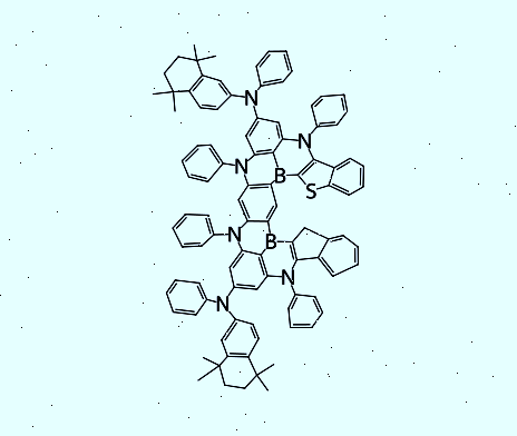 CC1(C)CCC(C)(C)c2cc(N(c3ccccc3)c3cc4c5c(c3)N(c3ccccc3)c3cc6c(cc3B5C3=C(c5ccccc5C3)N4c3ccccc3)B3c4sc5ccccc5c4N(c4ccccc4)c4cc(N(c5ccccc5)c5ccc7c(c5)C(C)(C)CCC7(C)C)cc(c43)N6c3ccccc3)ccc21